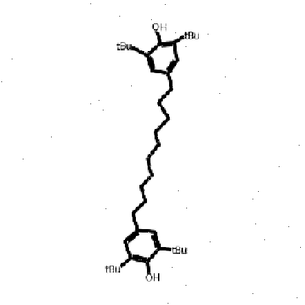 CC(C)(C)c1cc(CCCCCCCCCCc2cc(C(C)(C)C)c(O)c(C(C)(C)C)c2)cc(C(C)(C)C)c1O